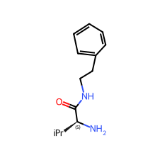 CC(C)[C@H](N)C(=O)NCCc1ccccc1